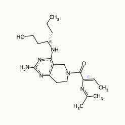 C/C=C(\N=C(C)C)C(=O)N1CCc2nc(N)nc(N[C@@H](CCC)CCO)c2C1